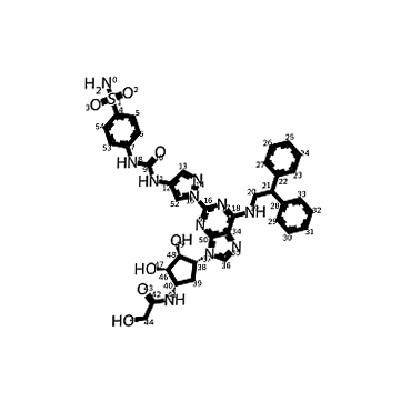 NS(=O)(=O)c1ccc(NC(=O)Nc2cnn(-c3nc(NCC(c4ccccc4)c4ccccc4)c4ncn([C@@H]5C[C@H](NC(=O)CO)[C@@H](O)[C@H]5O)c4n3)c2)cc1